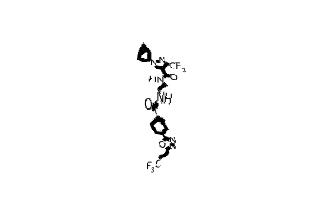 O=C(NCCNC(=O)[C@H]1CC[C@H](c2nnc(CCC(F)(F)F)o2)CC1)c1cn(-c2ccccc2)nc1C(F)(F)F